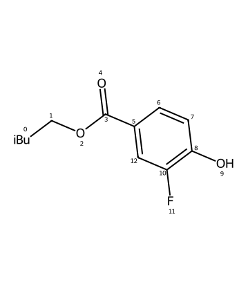 CCC(C)COC(=O)c1ccc(O)c(F)c1